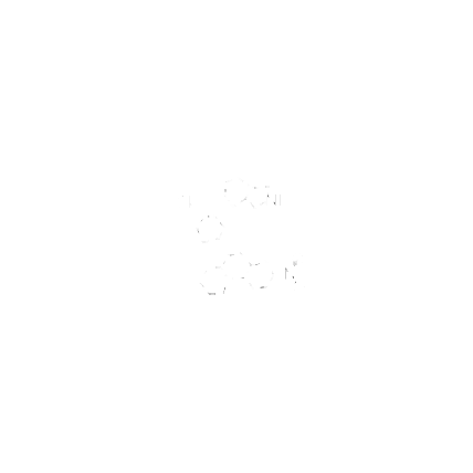 CC1CCc2c(ccc3c2c(-c2ccc(Cl)cc2)cc2cc([N+](=O)[O-])ccc23)C1.c1ccc2c[nH]cc2c1